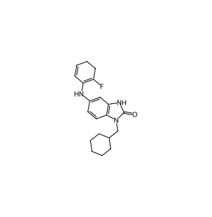 O=c1[nH]c2cc(NC3=C(F)CCC=C3)ccc2n1CC1CCCCC1